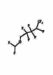 FC(F)OCC(F)(F)C(F)(F)C(F)C(F)(F)F